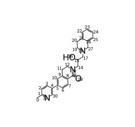 Cc1ccc(-c2ccc3c(c2)CCN(CC(O)CN2CCc4ccccc4C2)C3=O)cn1